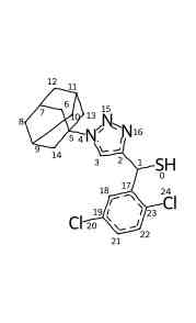 SC(c1cn(C23CC4CC(CC(C4)C2)C3)nn1)c1cc(Cl)ccc1Cl